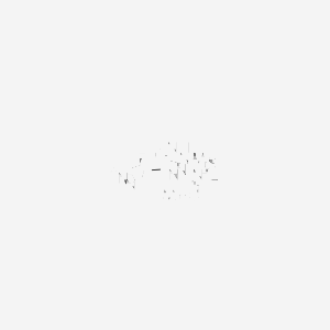 C=CC(=O)N1CC(n2nc(C#Cc3cc4ncn(C5CC5)c4cc3F)c(C(N)=O)c2NC)C[C@@H]1COC